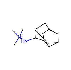 C[N+](C)(C)NC1C2CC3CC(C2)CC1C3